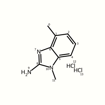 Cc1cccc2c1nc(N)n2C.Cl.Cl